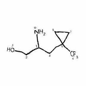 NC(CO)CC1(C(F)(F)F)CC1